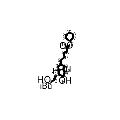 CCC(C)[C@H](O)/C=C/[C@@H]1[C@H]2C/C(=C/CCCC(=O)OC3CCCCC3)C[C@H]2C[C@H]1O